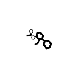 CCc1c(OC(C)=O)cccc1-c1ccccc1